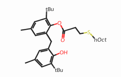 CCCCCCCCSCCC(=O)Oc1c(Cc2cc(C)cc(C(C)(C)C)c2O)cc(C)cc1C(C)(C)C